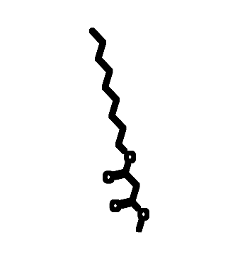 CCCCCCCCCOC(=O)CC(=O)OC